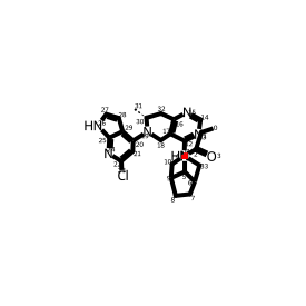 CCC(=O)NC1C2CCC1CN(c1ncnc3c1CN(c1cc(Cl)nc4[nH]ccc14)[C@H](C)C3)C2